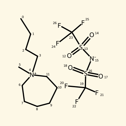 CCCC[N+]1(C)CCCCCC1.O=S(=O)([N-]S(=O)(=O)C(F)(F)F)C(F)(F)F